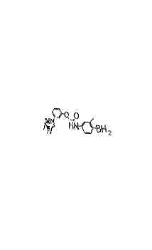 Bc1ccc(NC(=O)COc2cccc(-n3cnnn3)c2)cc1C